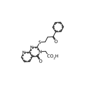 O=C(O)Cn1c(SCCC(=O)c2ccccc2)nc2ncccc2c1=O